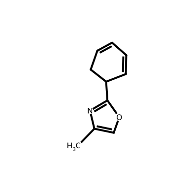 Cc1coc(C2C=CC=CC2)n1